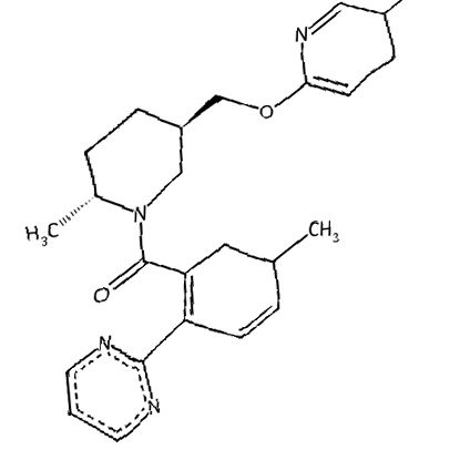 CC1C=CC(c2ncccn2)=C(C(=O)N2C[C@H](COC3=CCC(F)C=N3)CC[C@H]2C)C1